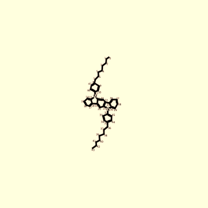 CCCCCCCCc1ccc(-n2c3ccccc3c3cc4c(cc32)c2ccccc2n4-c2ccc(CCCCCCCC)cc2)cc1